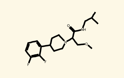 COCC(C(=O)NCC(C)C)N1CCC(c2cccc(F)c2F)CC1